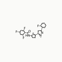 Cn1nc(-c2ccccc2F)cc1-c1ccc(NC(=O)c2c(F)cc(F)cc2F)s1